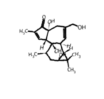 CC1=C[C@H]2[C@@]3(O)[C@H](C)C[C@]4(O)[C@H]([C@@H]3C=C(CO)C[C@]2(O)C1=O)C4(C)C